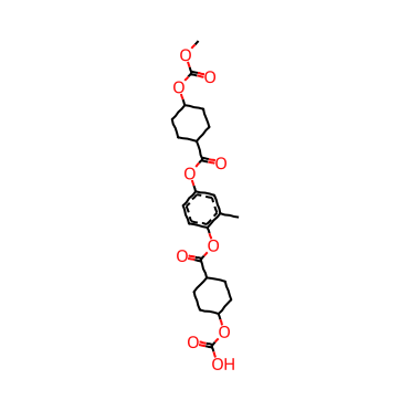 COC(=O)OC1CCC(C(=O)Oc2ccc(OC(=O)C3CCC(OC(=O)O)CC3)c(C)c2)CC1